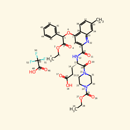 CCOC(=O)C(Oc1cc(C(=O)N[C@@H](CCC(=O)O)C(=O)N2CCN(C(=O)OCC)CC2)nc2cc(C)ccc12)c1ccccc1.O=C(O)C(F)(F)F